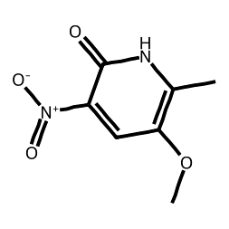 COc1cc([N+](=O)[O-])c(=O)[nH]c1C